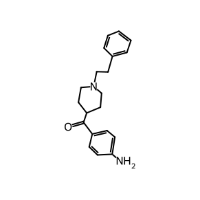 Nc1ccc(C(=O)C2CCN(CCc3ccccc3)CC2)cc1